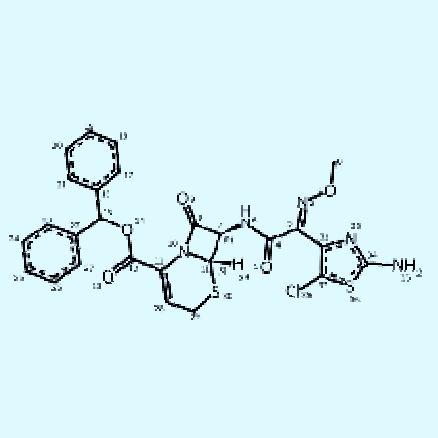 CON=C(C(=O)N[C@@H]1C(=O)N2C(C(=O)OC(c3ccccc3)c3ccccc3)=CCS[C@@H]12)c1nc(N)sc1Cl